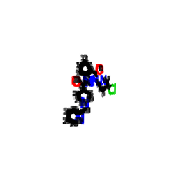 O=C(Nc1ccc(Cl)cn1)c1ccccc1NC(=O)C1CCN(Cc2ccccn2)CC1